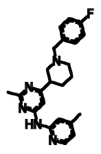 Cc1ccnc(Nc2cc(C3CCCN(Cc4ccc(F)cc4)C3)nc(C)n2)c1